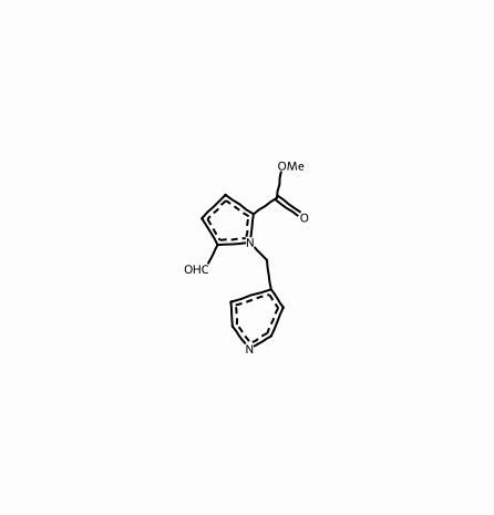 COC(=O)c1ccc(C=O)n1Cc1ccncc1